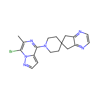 Cc1nc(N2CCC3(CC2)Cc2nccnc2C3)c2ccnn2c1Br